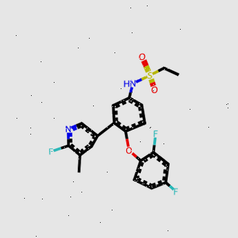 CCS(=O)(=O)Nc1ccc(Oc2ccc(F)cc2F)c(-c2cnc(F)c(C)c2)c1